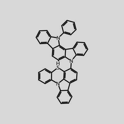 c1ccc(-n2c3ccccc3c3cc4c5c(c6ccccc6n5-c5ccc6c7ccccc7n7c6c5[SH]4c4ccccc4-7)c32)cc1